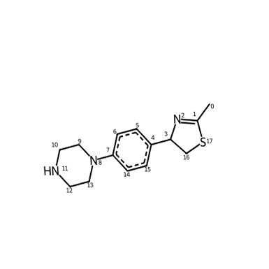 CC1=NC(c2ccc(N3CCNCC3)cc2)CS1